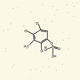 Cc1c(Cl)c(Cl)cc(OP(=O)(O)O)c1Cl